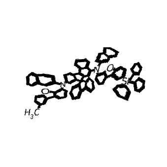 Cc1ccc2oc3c(N(c4ccc5c(c4)C4(c6ccccc6-c6ccccc64)c4cc(N(c6ccc7ccccc7c6)c6cccc7c6oc6ccc([Si](c8ccccc8)(c8ccccc8)c8ccccc8)cc67)c6ccccc6c4-5)c4ccc5ccccc5c4)cccc3c2c1